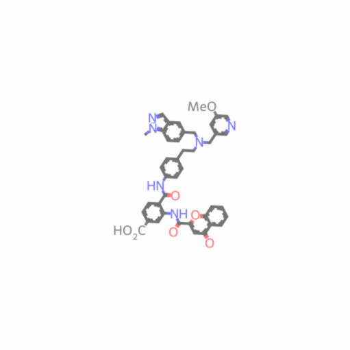 COc1cncc(CN(CCc2ccc(NC(=O)c3ccc(C(=O)O)cc3NC(=O)c3cc(=O)c4ccccc4o3)cc2)Cc2ccc3c(cnn3C)c2)c1